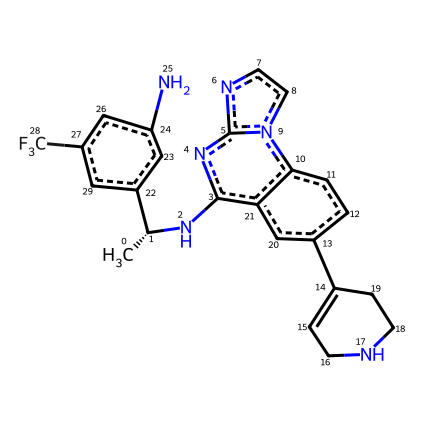 C[C@@H](Nc1nc2nccn2c2ccc(C3=CCNCC3)cc12)c1cc(N)cc(C(F)(F)F)c1